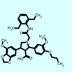 CCCOc1ccc(C2C(C(=O)O)C(c3cc(OC)c4c(c3)OCO4)CN2CC(=O)Nc2c(CC)cccc2CC)cc1OC